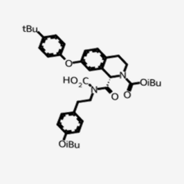 CC(C)COC(=O)N1CCc2ccc(Oc3ccc(C(C)(C)C)cc3)cc2[C@H]1C(=O)N(CCc1ccc(OCC(C)C)cc1)C(=O)O